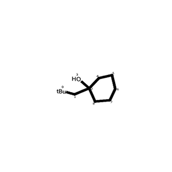 CC(C)(C)CC1(O)CCCCC1